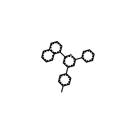 Cc1ccc(-c2cc(-c3ccccc3)nc(-c3cccc4ccccc34)c2)cc1